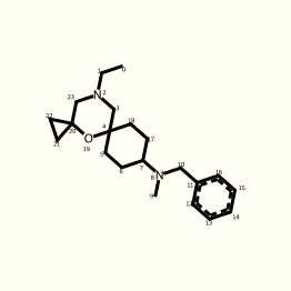 CCN1CC2(CCC(N(C)Cc3ccccc3)CC2)OC2(CC2)C1